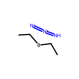 CC[B]CC.[N-]=[N+]=N